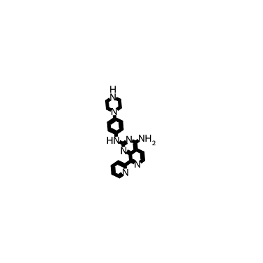 Nc1nc(Nc2ccc(N3CCNCC3)cc2)nc2c(-c3ccccn3)nccc12